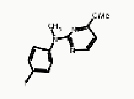 COc1ccnc(N(C)c2ccc(I)cc2)n1